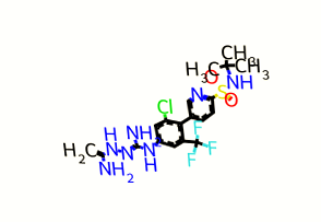 C=C(N)N/N=C(\N)Nc1cc(Cl)c(-c2ccc(S(=O)(=O)NC(C)(C)C)nc2)c(C(F)(F)F)c1